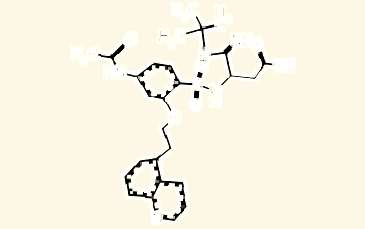 CC(=O)Nc1ccc(S(=O)(=O)NC(CC(=O)O)C(=N)OC(C)(C)C)c(OCCc2cccc3ncccc23)c1